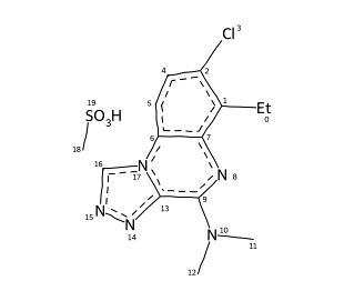 CCc1c(Cl)ccc2c1nc(N(C)C)c1nncn12.CS(=O)(=O)O